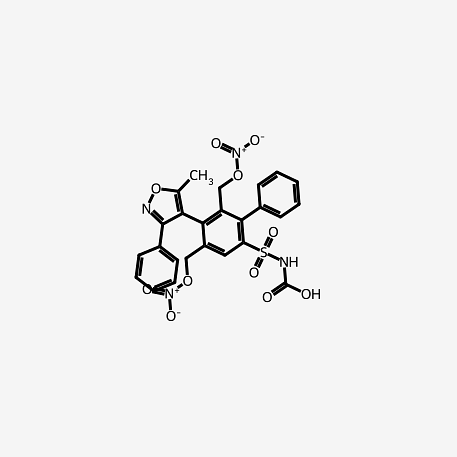 Cc1onc(-c2ccccc2)c1-c1c(CO[N+](=O)[O-])cc(S(=O)(=O)NC(=O)O)c(-c2ccccc2)c1CO[N+](=O)[O-]